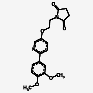 COc1ccc(-c2ccc(OCCN3C(=O)CCC3=O)cn2)cc1OC